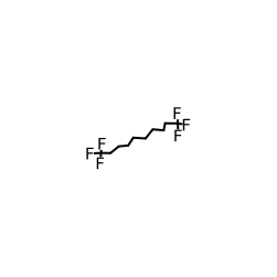 FC(F)(F)CCCCCCCCC(F)(F)F